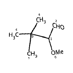 COC(C=O)C(C)(C)C